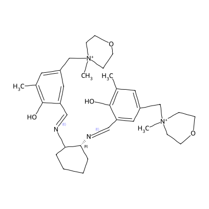 Cc1cc(C[N+]2(C)CCOCC2)cc(/C=N/C2CCCC[C@H]2/N=C/c2cc(C[N+]3(C)CCOCC3)cc(C)c2O)c1O